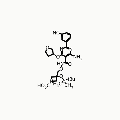 CC(C)(C)[Si](C)(C)OC1(CONC(=O)c2c(N)nc(-c3cccc(C#N)c3)nc2O[C@H]2CCOC2)CN(C(=O)O)C1